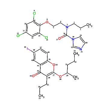 CCCN(CCOc1c(Cl)cc(Cl)cc1Cl)C(=O)n1ccnc1.CCCc1c(OC(C)CCC)oc2ccc(I)cc2c1=O